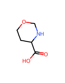 O=C(O)C1CCOCN1